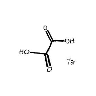 O=C(O)C(=O)O.[Ta]